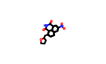 O=C1NC(=O)c2c(CC3CCCO3)ccc3cc([N+](=O)[O-])cc1c23